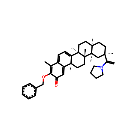 C=C(N1CCCC1)[C@]1(C)CC[C@]2(C)CC[C@]3(C)C4=CC=C5C(=CC(=O)C(OCc6ccccc6)=C5C)[C@]4(C)CC[C@@]3(C)[C@@H]2C1